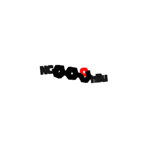 CCCCC1CCC(c2ccc(-c3ccc(C#N)cc3)cc2)OC1